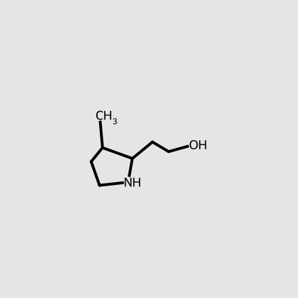 CC1CCNC1CCO